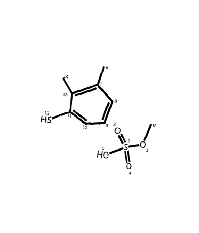 COS(=O)(=O)O.Cc1cccc(S)c1C